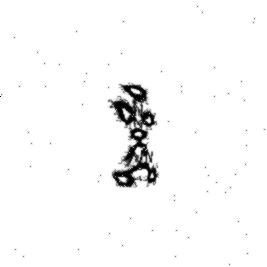 c1ccc(-c2nc3cc(-c4ccc(N5c6ccccc6N(c6ccccc6)c6ccccc65)cc4)ccn3c2-c2ccccc2)cc1